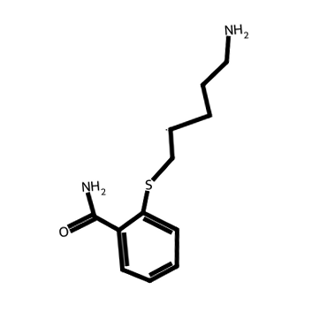 NCCC[CH]CSc1ccccc1C(N)=O